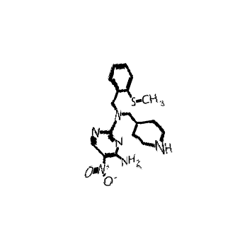 CSc1ccccc1CN(CC1CCNCC1)c1ncc([N+](=O)[O-])c(N)n1